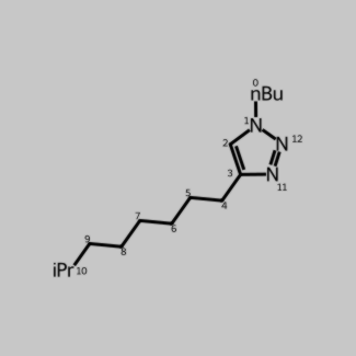 CCCCn1cc(CCCCCCC(C)C)nn1